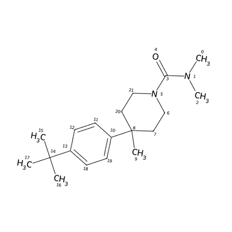 CN(C)C(=O)N1CCC(C)(c2ccc(C(C)(C)C)cc2)CC1